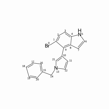 Brc1ccc2[nH]ccc2c1-c1ccn(Cc2ccccc2)c1